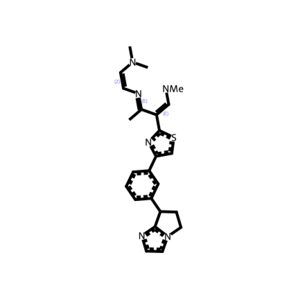 CN\C=C(/C(C)=N/C=C\N(C)C)c1nc(-c2cccc(C3CCn4ccnc43)c2)cs1